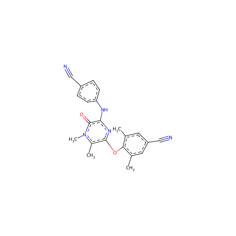 Cc1cc(C#N)cc(C)c1Oc1nc(Nc2ccc(C#N)cc2)c(=O)n(C)c1C